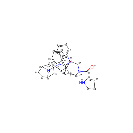 Cc1nc2ccccc2n1C1CC2CCC(C1)N2CCC1(c2ccccc2)CCN(C(=O)c2ccc[nH]2)CC1